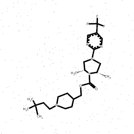 C[C@@H]1CN(c2ncc(C(F)(F)F)cn2)C[C@H](C)N1C(=O)OCC1CCN(CCC(C)(C)C)CC1